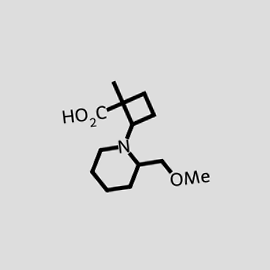 COCC1CCCCN1C1CCC1(C)C(=O)O